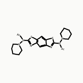 CC(=O)N(c1nc2cc3nc(N(C(C)=O)N4CCCCC4)sc3cc2s1)N1CCCCC1